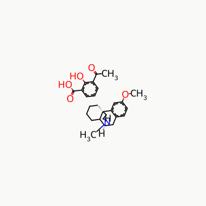 CC(=O)c1cccc(C(=O)O)c1O.COc1ccc2c(c1)[C@]13CCCC[C@@H]1[C@H](C2)N(C)CC3